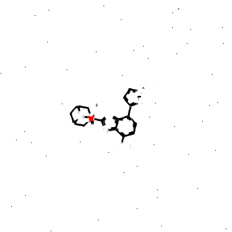 Cn1ccc(-c2ccc(O)c3nc(N4CC5CC(C4)N5C(=O)OC(C)(C)C)oc23)n1